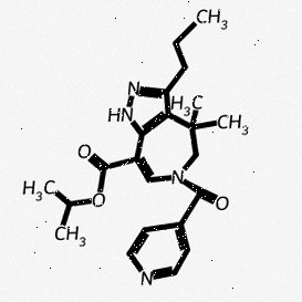 CCCc1n[nH]c2c1C(C)(C)CN(C(=O)c1ccncc1)C=C2C(=O)OC(C)C